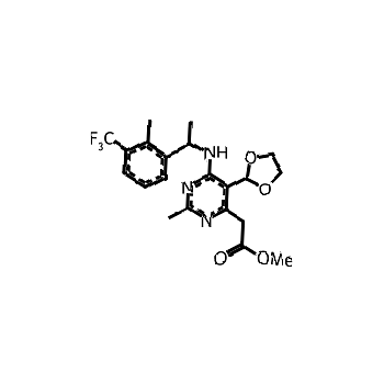 COC(=O)Cc1nc(C)nc(NC(C)c2cccc(C(F)(F)F)c2C)c1C1OCCO1